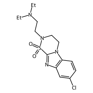 CCN(CC)CCN1CCn2c(nc3cc(Cl)ccc32)S1(=O)=O